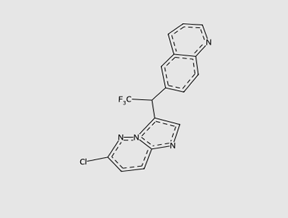 FC(F)(F)C(c1ccc2ncccc2c1)c1cnc2ccc(Cl)nn12